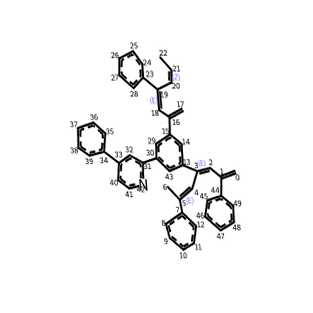 C=C(/C=C(\C=C(/C)c1ccccc1)c1cc(C(=C)/C=C(\C=C/C)c2ccccc2)cc(-c2cc(-c3ccccc3)ccn2)c1)c1ccccc1